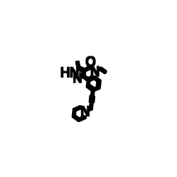 CCn1c(=O)c2c(C)[nH]nc2c2cc(C#CCN3CCCCC3)ccc21